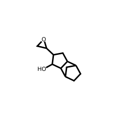 OC1C(C2CO2)CC2C3CCC(C3)C12